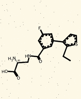 CCc1sccc1-c1cc(F)cc(C(=O)NC[C@@H](N)C(=O)O)c1